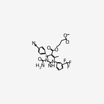 COC(=O)CCCOC(=O)C1=C(C)N(c2cccc(C(F)(F)F)c2)C(=N)N(C(N)=O)[C@@H]1c1ccc(C#N)cc1